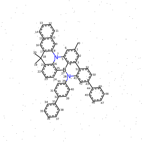 Cc1cc2c3c(c1)N1c4cc5ccccc5cc4C(C)(C)c4cccc(c41)B3N(c1ccc(-c3ccccc3)cc1)c1cc(-c3ccccc3)ccc1-2